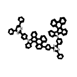 c1ccc(-c2cc(-c3ccccc3)nc(-c3ccc(-n4c5ccccc5c5c6c7cccc(-c8ccc(-c9nc(-c%10ccccc%10)nc(-c%10cccc(-n%11c%12ccccc%12c%12c%13c%14ccccc%14c%14ccccc%14c%13c%13ccccc%13c%12%11)c%10)n9)cc8)c7c7ccccc7c6c6ccccc6c54)cc3)n2)cc1